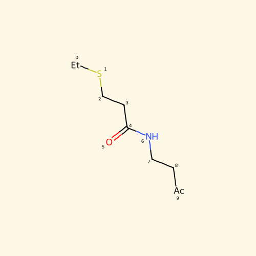 CCSCCC(=O)NCCC(C)=O